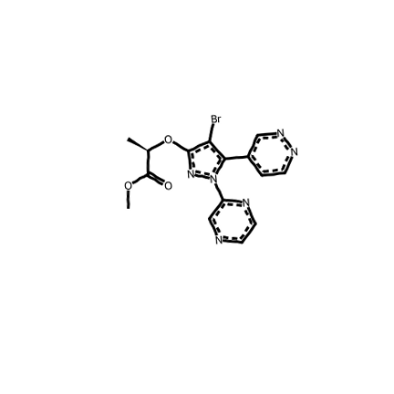 COC(=O)[C@@H](C)Oc1nn(-c2cnccn2)c(-c2ccnnc2)c1Br